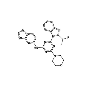 FC(F)c1nc2ccccc2n1-c1nc(Nc2ccc3ncsc3c2)nc(N2CCOCC2)n1